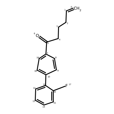 C=CCCCC(=O)c1ccc(-c2ccccc2F)cc1